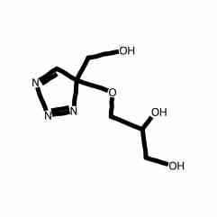 OCC(O)COC1(CO)C=NN=N1